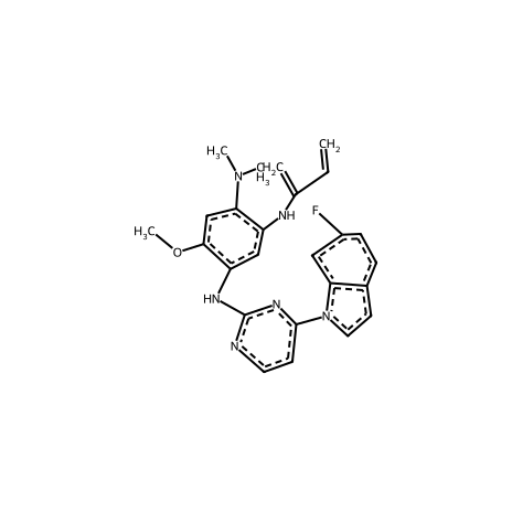 C=CC(=C)Nc1cc(Nc2nccc(-n3ccc4ccc(F)cc43)n2)c(OC)cc1N(C)C